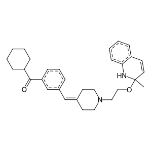 CC1(OCCN2CCC(=Cc3cccc(C(=O)C4CCCCC4)c3)CC2)C=Cc2ccccc2N1